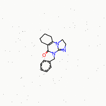 O=C1C2=C(CCCC2)N2CCN=C2N1Cc1ccccc1